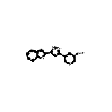 COc1cncc(-c2cc(-c3cc4ccccc4[nH]3)n[nH]2)c1